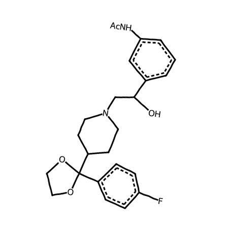 CC(=O)Nc1cccc(C(O)CN2CCC(C3(c4ccc(F)cc4)OCCO3)CC2)c1